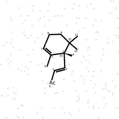 CC(=O)C=C[C@]1(C)C(C)=CCCC1(C)C